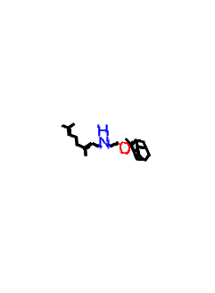 CC(C)=CCC/C(C)=C/CNCCOC1(C)C2CC3CC(C2)CC1C3